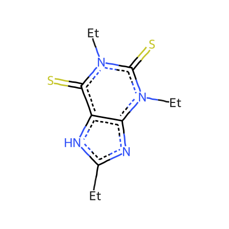 CCc1nc2c([nH]1)c(=S)n(CC)c(=S)n2CC